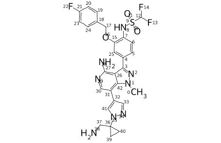 Cn1nc(-c2ccc(NS(=O)(=O)C(F)F)c(OCc3ccc(F)cc3)c2)c2c(N)ncc(-c3cnn(C4(CN)CC4)c3)c21